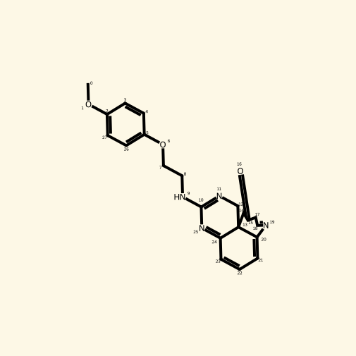 COc1ccc(OCCNC2=NCC34CC(=O)CC=NC3=CC=CC4=N2)cc1